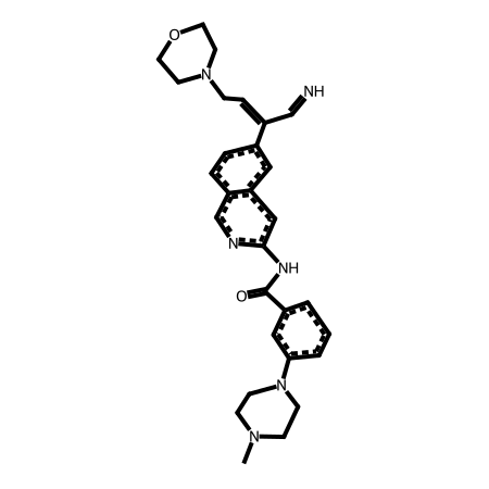 CN1CCN(c2cccc(C(=O)Nc3cc4cc(/C(C=N)=C\CN5CCOCC5)ccc4cn3)c2)CC1